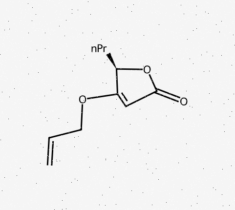 C=CCOC1=CC(=O)O[C@@H]1CCC